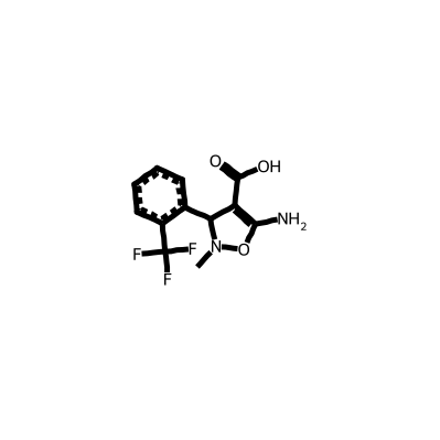 CN1OC(N)=C(C(=O)O)C1c1ccccc1C(F)(F)F